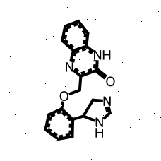 O=c1[nH]c2ccccc2nc1COc1ccccc1C1CN=CN1